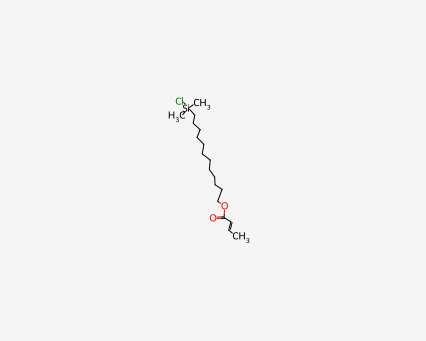 CC=CC(=O)OCCCCCCCCCCCC[Si](C)(C)Cl